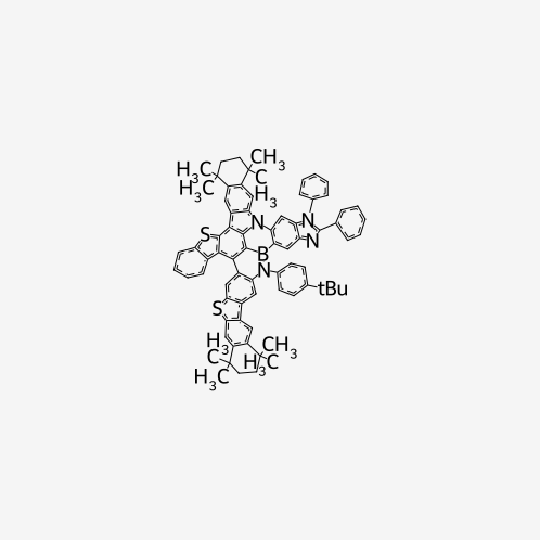 CC(C)(C)c1ccc(N2B3c4cc5nc(-c6ccccc6)n(-c6ccccc6)c5cc4-n4c5cc6c(cc5c5c7sc8ccccc8c7c(c3c54)-c3cc4sc5cc7c(cc5c4cc32)C(C)(C)CCC7(C)C)C(C)(C)CCC6(C)C)cc1